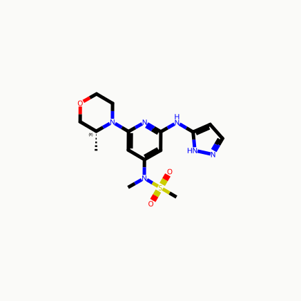 C[C@@H]1COCCN1c1cc(N(C)S(C)(=O)=O)cc(Nc2ccn[nH]2)n1